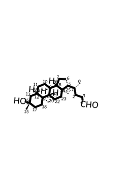 C[C@H](CCC=O)[C@H]1CC[C@H]2[C@@H]3CC[C@H]4C[C@@](C)(O)CC[C@]4(C)[C@H]3CC[C@]12C